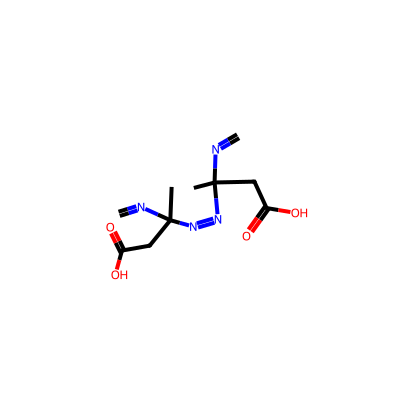 C=NC(C)(CC(=O)O)/N=N\C(C)(CC(=O)O)N=C